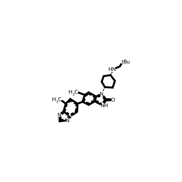 Cc1cc2c(cc1-c1cc(C)c3ncnn3c1)[nH]c(=O)n2[C@H]1CC[C@@H](NCC(C)(C)C)CC1